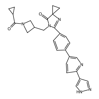 O=C(C1CC1)N1CC(CN2C(=O)C3(CC3)N=C2c2ccc(-c3ccc(-c4cn[nH]c4)nc3)cc2)C1